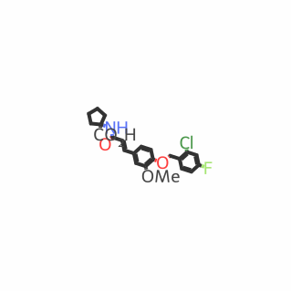 COc1cc(C=CC(=O)NC2(C(=O)O)CCCC2)ccc1OCc1ccc(F)cc1Cl